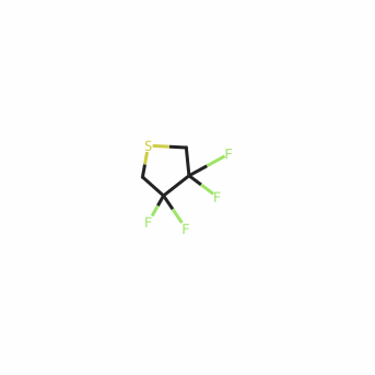 FC1(F)CSCC1(F)F